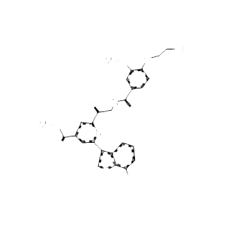 COC(=O)c1cc(C(=O)CNC(=O)c2ccc(OCCO)c(OC)c2)nc(-c2csc3c(F)cccc23)c1